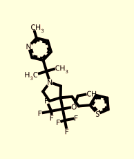 CCOC(C(F)(F)F)(C(F)(F)F)C1(CCc2cccs2)CCN(C(C)(C)c2ccc(C)nc2)C1